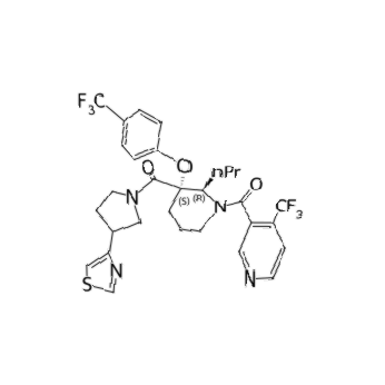 CCC[C@H]1N(C(=O)c2cnccc2C(F)(F)F)CCC[C@@]1(Oc1ccc(C(F)(F)F)cc1)C(=O)N1CCC(c2cscn2)C1